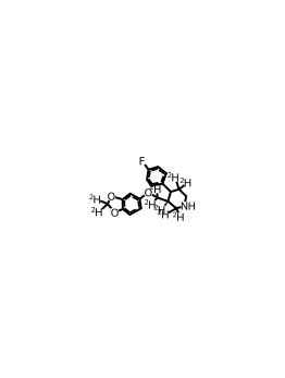 [2H]C1([2H])Oc2ccc(OC([2H])([2H])[C@]3([2H])C(c4ccc(F)cc4)C([2H])([2H])CNC3([2H])[2H])cc2O1